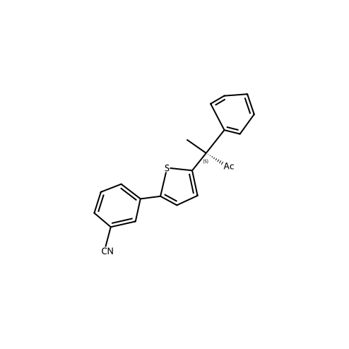 CC(=O)[C@](C)(c1ccccc1)c1ccc(-c2cccc(C#N)c2)s1